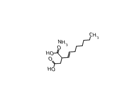 CCCCCCC=CC(CC(=O)O)C(=O)O.N